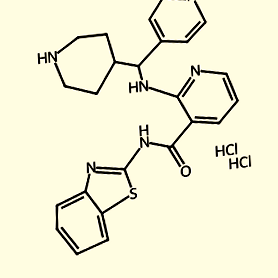 Cl.Cl.O=C(Nc1nc2ccccc2s1)c1cccnc1NC(c1ccncc1)C1CCNCC1